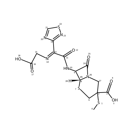 CSC1(C(=O)O)CS[C@@H]2C(NC(=O)C(=NCC(=O)O)c3ncsn3)C(=O)N2C1